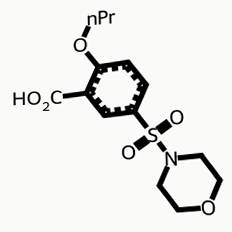 CCCOc1ccc(S(=O)(=O)N2CCOCC2)cc1C(=O)O